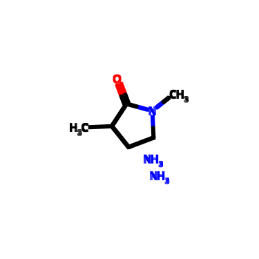 CC1CCN(C)C1=O.N.N